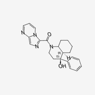 O=C(c1ncc2ncccn12)N1CC[C@@](O)(c2ccccc2)[C@@H]2CCCCC21